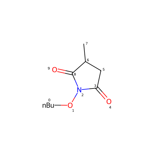 CCCCON1C(=O)CC(C)C1=O